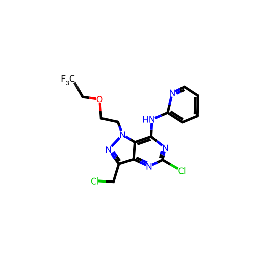 FC(F)(F)COCCn1nc(CCl)c2nc(Cl)nc(Nc3ccccn3)c21